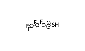 Fc1ccc(-c2ccc(-c3ccc(C4OCC(S)CO4)cc3F)cc2F)cc1F